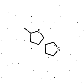 C1CCSC1.CC1CCCS1